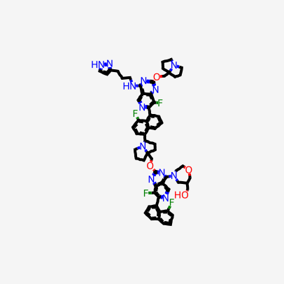 OCC1COCCN(c2nc(OCC34CCCN3C(c3ccc(F)c5c(-c6ncc7c(NCCCc8cc[nH]n8)nc(OCC89CCCN8CCC9)nc7c6F)cccc35)CC4)nc3c(F)c(-c4cccc5cccc(F)c45)ncc23)C1